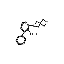 O=Cc1c(-c2ccccc2)ccnc1N1CC2(COC2)C1